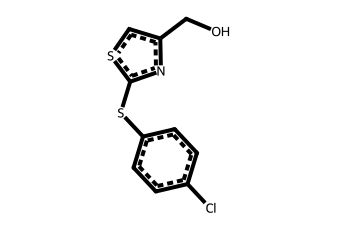 OCc1csc(Sc2ccc(Cl)cc2)n1